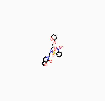 O=c1c2occc2ccn1CCN(CCCOC1CCCCO1)S(=O)(=O)c1ccccc1[N+](=O)[O-]